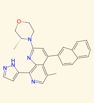 Cc1cnc(-c2ccn[nH]2)c2nc(N3CCOC[C@H]3C)cc(-c3ccc4ccccc4c3)c12